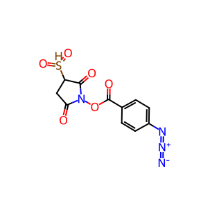 [N-]=[N+]=Nc1ccc(C(=O)ON2C(=O)CC([SH](=O)=O)C2=O)cc1